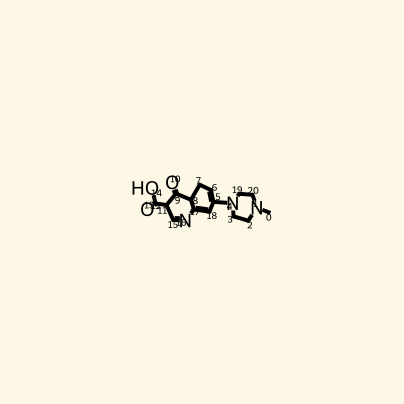 CN1CCN(C2=CCC3C(=O)C(C(=O)O)C=NC3=C2)CC1